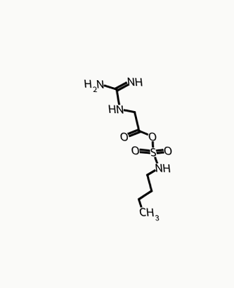 CCCCNS(=O)(=O)OC(=O)CNC(=N)N